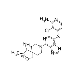 C[C@@H]1OCC2(CCN(c3ncc(Sc4ccnc(N)c4Cl)n4ncnc34)CC2)C1N